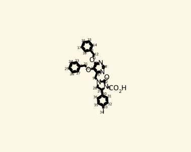 O=C(O)N1C(=O)N(Cc2ncnc(OCc3ccccc3)c2OCc2ccccc2)CC1c1ccc(I)cc1